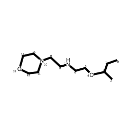 CCC(C)OCCNCCN1CCOCC1